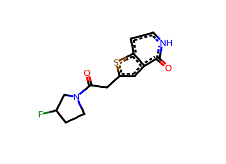 O=C(Cc1cc2c(=O)[nH]ccc2s1)N1CCC(F)C1